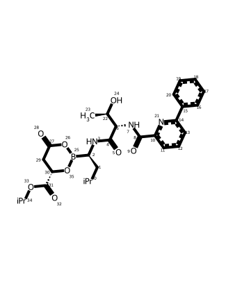 CC(C)C[C@H](NC(=O)[C@@H](NC(=O)c1cccc(-c2ccccc2)n1)[C@@H](C)O)B1OC(=O)C[C@@H](C(=O)OC(C)C)O1